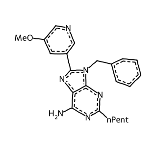 CCCCCc1nc(N)c2nc(-c3cncc(OC)c3)n(Cc3ccccc3)c2n1